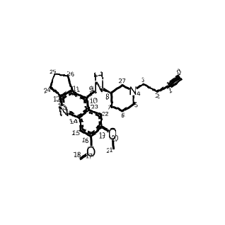 C#CCCN1CCC[C@@H](Nc2c3c(nc4cc(OC)c(OC)cc24)CCC3)C1